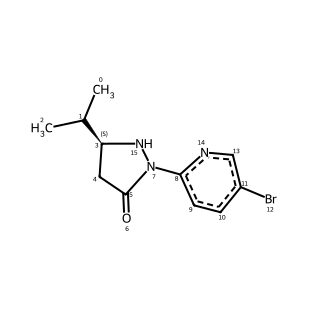 CC(C)[C@@H]1CC(=O)N(c2ccc(Br)cn2)N1